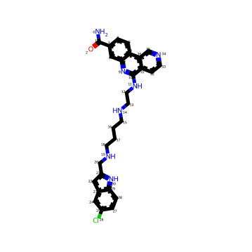 NC(=O)c1ccc2c(c1)nc(NCCNCCCCNCc1cc3cc(Cl)ccc3[nH]1)c1ccncc12